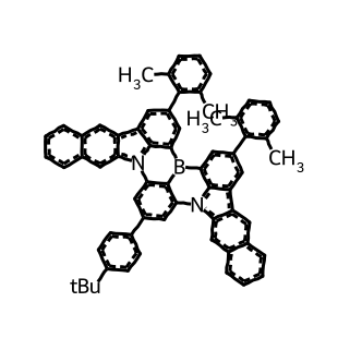 Cc1cccc(C)c1-c1cc2c3c(c1)c1cc4ccccc4cc1n3-c1cc(-c3ccc(C(C)(C)C)cc3)cc3c1B2c1cc(-c2c(C)cccc2C)cc2c4cc5ccccc5cc4n-3c12